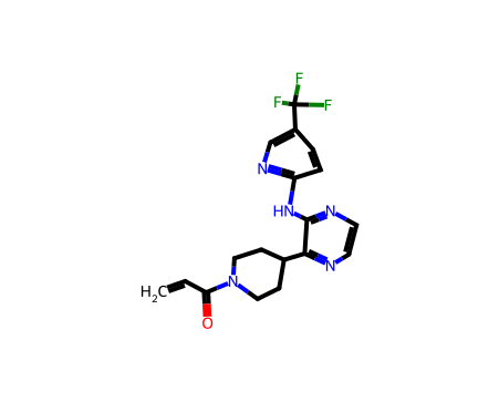 C=CC(=O)N1CCC(c2nccnc2Nc2ccc(C(F)(F)F)cn2)CC1